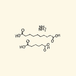 N.N.O=C(O)CCCCC(=O)O.O=C(O)CCCCCCCCC(=O)O